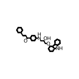 O=C(C=Cc1ccccc1)c1ccc(NCC(O)COc2cccc3[nH]c4ccccc4c23)cc1